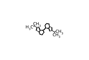 CC(C)C1=Cc2cccc(=c3cccc4c3=CC(C(C)C)=C4)c2=C1